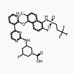 Cc1ccc2c(NS(=O)(=O)CCC(F)(F)F)c(F)ccc2c1Oc1ncccc1-c1ccnc(NC2CC(F)CN(C(=O)O)C2)n1